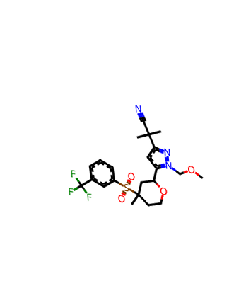 COCn1nc(C(C)(C)C#N)cc1C1CC(C)(S(=O)(=O)c2cccc(C(F)(F)F)c2)CCO1